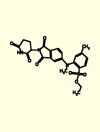 CCOS(=O)(=O)c1ccc(C)cc1N(C)c1ccc2c(c1)C(=O)N(C1CCC(=O)NC1=O)C2=O